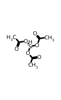 CC(=O)O[SiH](OC(C)=O)OC(C)=O